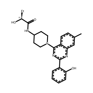 CC[C@H](O)C(=O)NC1CCN(c2nc(-c3ccccc3O)nc3cc(C)ccc23)CC1